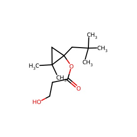 CC(C)(C)CC1(OC(=O)CCO)CC1(C)C